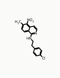 Cc1ccc2c(NCCc3ccc(Cl)cc3)nccc2c1[N+](=O)[O-]